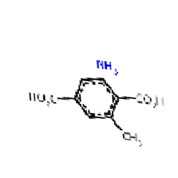 Cc1cc(C(=O)O)ccc1C(=O)O.N